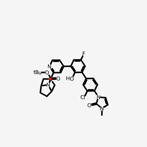 Cn1ccn(-c2ccc(-c3cc(F)cc(-c4ccnc(N5CC6CCC(C5)N6C(=O)OC(C)(C)C)c4)c3O)cc2Cl)c1=O